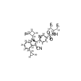 N#Cc1c(-c2ccc(S(=O)(=O)NC(CF)CF)cn2)n(C2CCC2F)c2cccc(C3CC3)c12